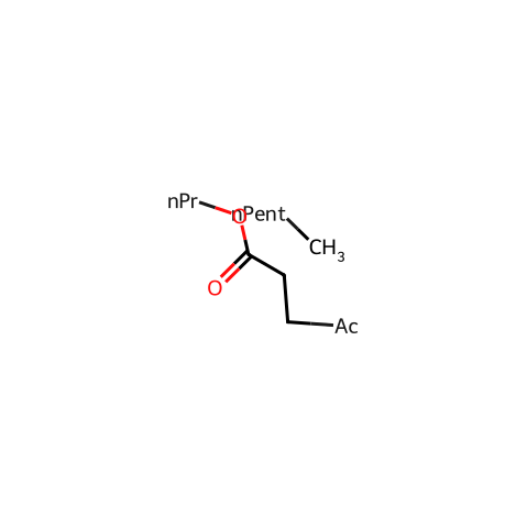 CCCCCC.CCCOC(=O)CCC(C)=O